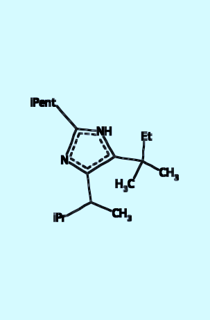 CCCC(C)c1nc(C(C)C(C)C)c(C(C)(C)CC)[nH]1